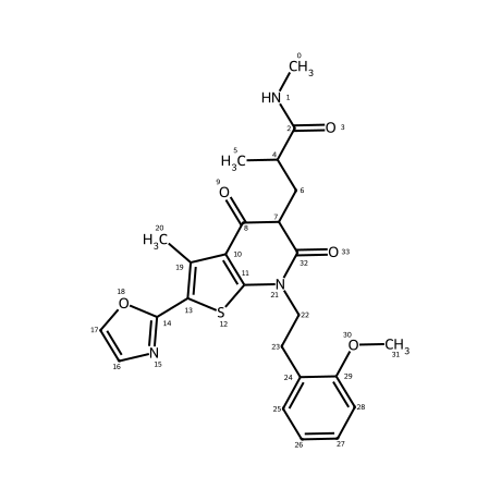 CNC(=O)C(C)CC1C(=O)c2c(sc(-c3ncco3)c2C)N(CCc2ccccc2OC)C1=O